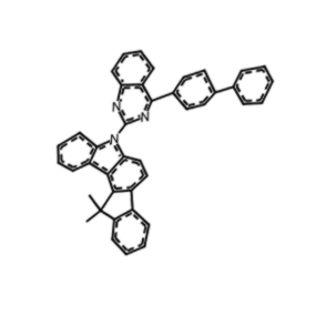 CC1(C)c2ccccc2-c2ccc3c(c21)c1ccccc1n3-c1nc(-c2ccc(-c3ccccc3)cc2)c2ccccc2n1